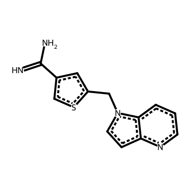 N=C(N)c1csc(Cn2ccc3ncccc32)c1